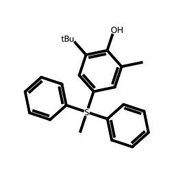 Cc1cc(S(C)(c2ccccc2)c2ccccc2)cc(C(C)(C)C)c1O